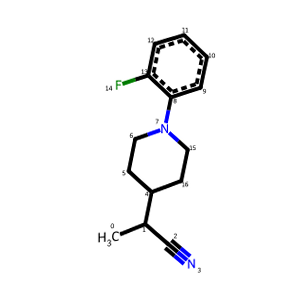 CC(C#N)C1CCN(c2ccccc2F)CC1